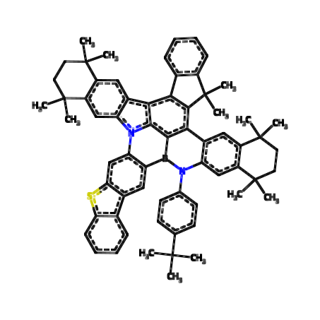 CC(C)(C)c1ccc(N2B3c4cc5c(cc4-n4c6cc7c(cc6c6c8c(c(c3c64)-c3cc4c(cc32)C(C)(C)CCC4(C)C)C(C)(C)c2ccccc2-8)C(C)(C)CCC7(C)C)sc2ccccc25)cc1